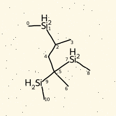 C[SiH2]C(C)CC(C)([SiH2]C)[SiH2]C